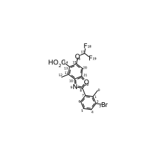 Cc1c(Br)cccc1-c1nc2c(C)c(C(=O)O)c(OC(F)F)cc2o1